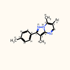 CC(=O)c1cnc2c(C)c(-c3ccc(C)cc3)nn2c1C